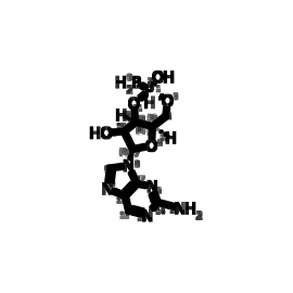 B[PH]1(O)OC[C@H]2O[C@@H](n3cnc4cnc(N)nc43)C(O)[C@H]2O1